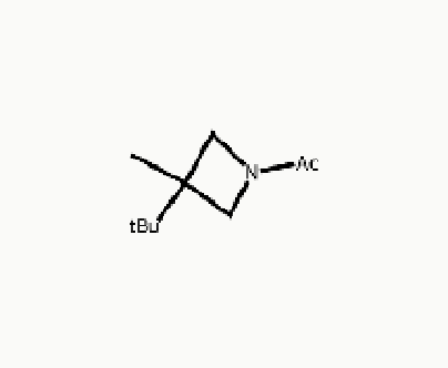 CC(=O)N1CC(C)(C(C)(C)C)C1